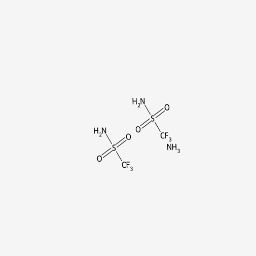 N.NS(=O)(=O)C(F)(F)F.NS(=O)(=O)C(F)(F)F